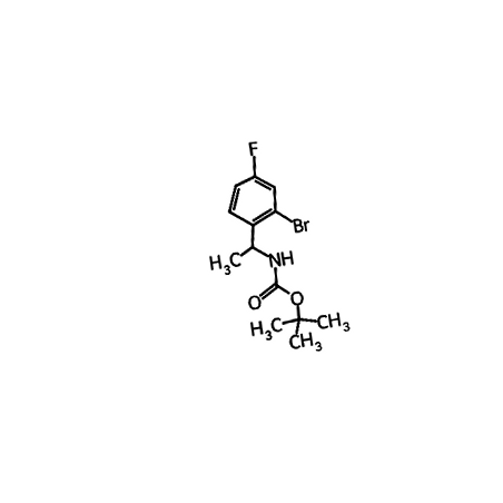 CC(NC(=O)OC(C)(C)C)c1ccc(F)cc1Br